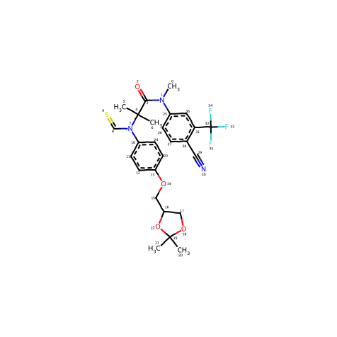 CN(C(=O)C(C)(C)N(C=S)c1ccc(OCC2COC(C)(C)O2)cc1)c1ccc(C#N)c(C(F)(F)F)c1